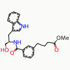 COC(=O)CCCc1cccc(C(=O)N[C@@H](CO)Cc2c[nH]c3ccccc23)c1